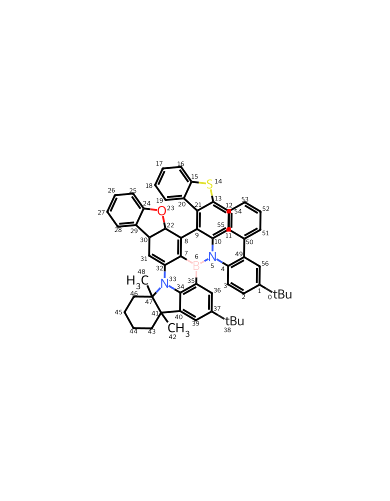 CC(C)(C)c1ccc(N2B3C4=C(c5c2ccc2sc6ccccc6c52)C2Oc5ccccc5C2C=C4N2c4c3cc(C(C)(C)C)cc4C3(C)CCCCC23C)c(-c2ccccc2)c1